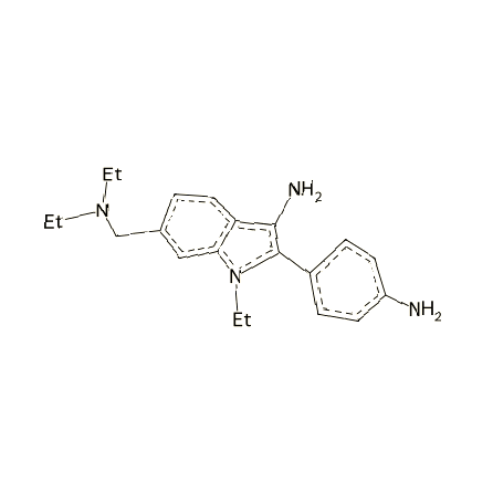 CCN(CC)Cc1ccc2c(N)c(-c3ccc(N)cc3)n(CC)c2c1